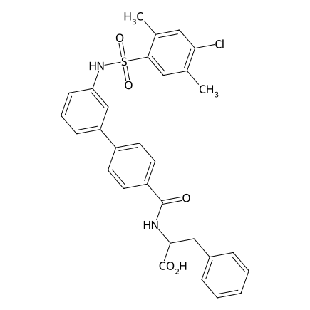 Cc1cc(S(=O)(=O)Nc2cccc(-c3ccc(C(=O)NC(Cc4ccccc4)C(=O)O)cc3)c2)c(C)cc1Cl